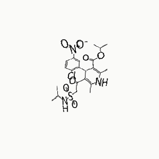 CC1=C(C(=O)CS(=O)(=O)NC(C)C)C(c2cc([N+](=O)[O-])ccc2Cl)C(C(=O)OC(C)C)=C(C)N1